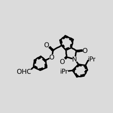 CC(C)c1cccc(C(C)C)c1N1C(=O)c2cccc(C(=O)Oc3ccc(C=O)cc3)c2C1=O